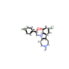 CN1CCc2c(n(CC(O)c3ccc(F)cc3)c3ccc(Cl)cc23)CC1